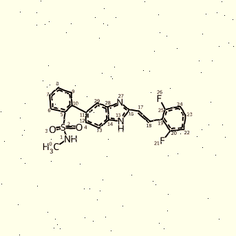 CNS(=O)(=O)c1ccccc1-c1ccc2[nH]c(C=Cc3c(F)cccc3F)nc2c1